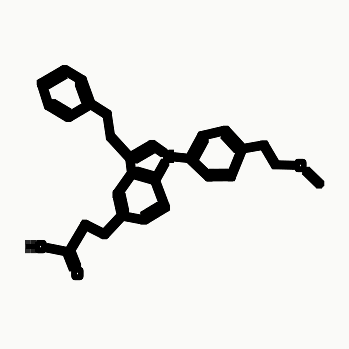 COCCc1ccc(-n2cc(CCc3ccccc3)c3cc(CCC(=O)O)ccc32)cc1